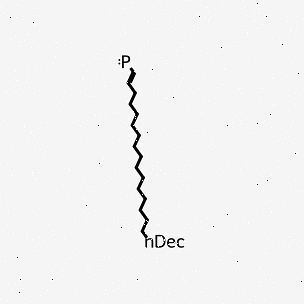 CCCCCCCCCCCCCCCCCCCCCCCCC=C[P]